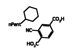 CCCCCC1CCCCC1.N#Cc1cc(C(=O)O)ccc1C(=O)O